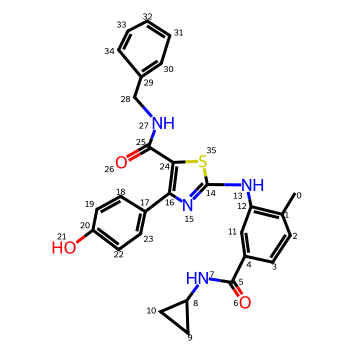 Cc1ccc(C(=O)NC2CC2)cc1Nc1nc(-c2ccc(O)cc2)c(C(=O)NCc2ccccc2)s1